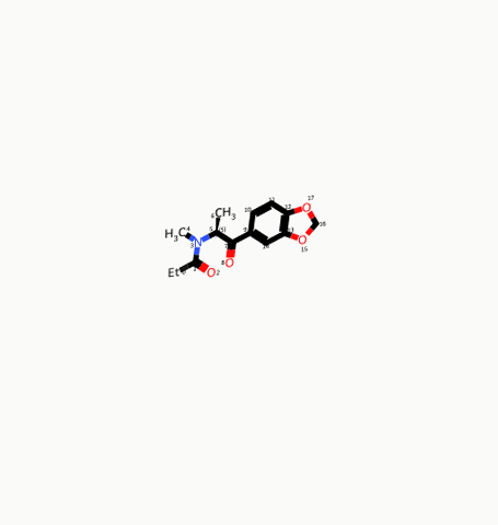 CCC(=O)N(C)[C@@H](C)C(=O)c1ccc2c(c1)OCO2